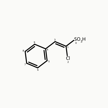 O=S(=O)(O)C(Cl)=Cc1ccccc1